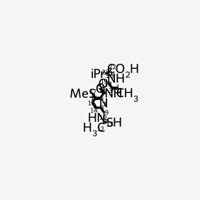 C/C=C(\NC(=O)c1nc(CNC(C)S)ccc1SC)C(=O)N[C@H](C(=O)O)C(C)C